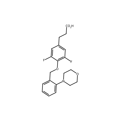 O=C(O)CCc1cc(F)c(OCc2ccccc2N2CCOCC2)c(F)c1